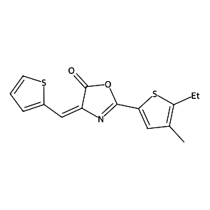 CCc1sc(C2=NC(=Cc3cccs3)C(=O)O2)cc1C